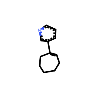 C1=C(c2cccnc2)CCCCC1